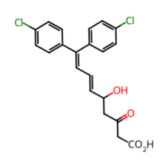 O=C(O)CC(=O)CC(O)C=CC=C(c1ccc(Cl)cc1)c1ccc(Cl)cc1